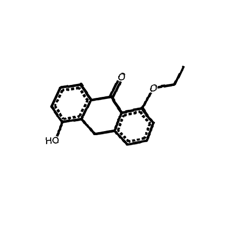 CCOc1cccc2c1C(=O)c1cccc(O)c1C2